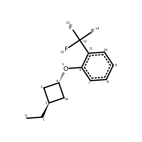 CC[C@H]1C[C@H](Oc2ccccc2C(F)(F)F)C1